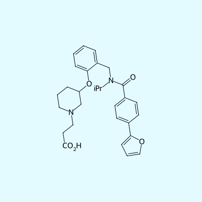 CC(C)N(Cc1ccccc1OC1CCCN(CCC(=O)O)C1)C(=O)c1ccc(-c2ccco2)cc1